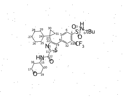 CC(C)(C)NS(=O)(=O)c1ccc(-c2sc(C(=O)NC3CCOCC3)nc2C2(C3CCCCC3)CC2)cc1C(F)(F)F